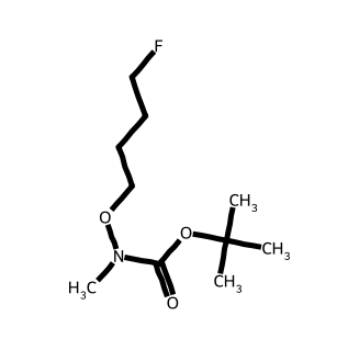 CN(OCCCCF)C(=O)OC(C)(C)C